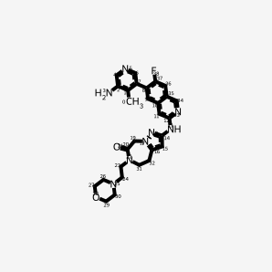 Cc1c(N)cncc1-c1cc2cc(Nc3cc4n(n3)CC(=O)N(CCN3CCOCC3)CC4)ncc2cc1F